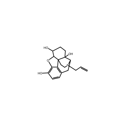 C=CCN1CCC23c4c5ccc(O)c4OC2C(O)CCC3(O)C1C5